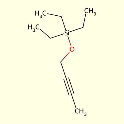 CC#CCO[Si](CC)(CC)CC